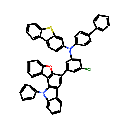 Clc1cc(-c2cc3c4ccccc4n(-c4ccccc4)c3c3c2oc2ccccc23)cc(N(c2ccc(-c3ccccc3)cc2)c2ccc3c(c2)sc2ccccc23)c1